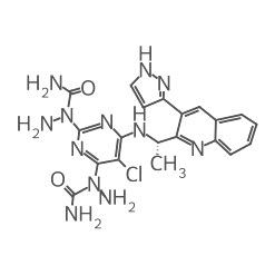 C[C@H](Nc1nc(N(N)C(N)=O)nc(N(N)C(N)=O)c1Cl)c1nc2ccccc2cc1-c1cc[nH]n1